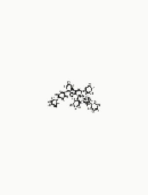 c1ccc(-c2nc(-c3ccccc3)nc(-c3ccccc3-c3cccc4c3oc3c(-c5ccc(-c6cccnc6)cc5)cccc34)n2)cc1